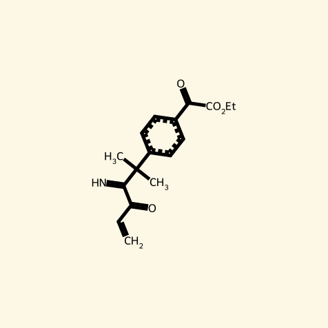 C=CC(=O)C(=N)C(C)(C)c1ccc(C(=O)C(=O)OCC)cc1